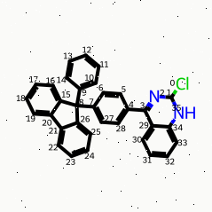 ClC1N=C(c2ccc(C3(c4ccccc4)c4ccccc4-c4ccccc43)cc2)c2ccccc2N1